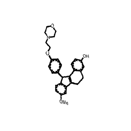 COc1ccc2c(c1)C1=C(c3ccc(O)cc3CC1)C2c1ccc(OCCN2CCOCC2)cc1